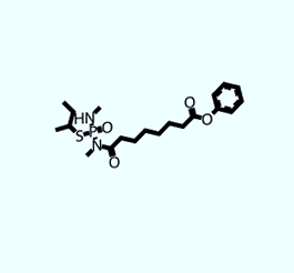 CCC(C)SP(=O)(NC)N(C)C(=O)CCCCCCC(=O)Oc1ccccc1